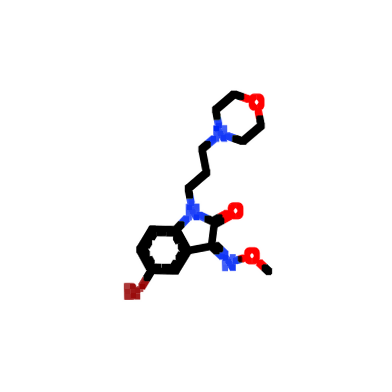 CO/N=C1\C(=O)N(CCCN2CCOCC2)c2ccc(Br)cc21